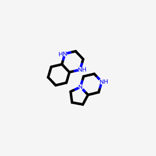 C1CC2CNCCN2C1.C1CCC2NCCNC2C1